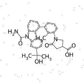 Cc1c(-c2cccc3c2c2ccc(C(C)(C)O)cc2n3C(N)=O)cccc1N1CC(C(=O)O)CC1=O